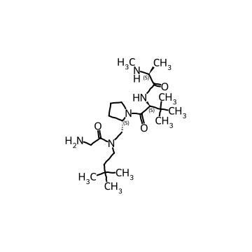 CN[C@@H](C)C(=O)N[C@H](C(=O)N1CCC[C@H]1CN(CCC(C)(C)C)C(=O)CN)C(C)(C)C